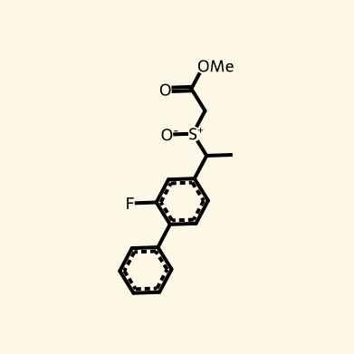 COC(=O)C[S+]([O-])C(C)c1ccc(-c2ccccc2)c(F)c1